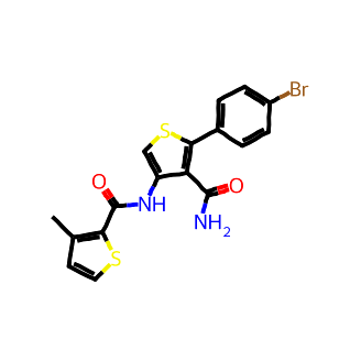 Cc1ccsc1C(=O)Nc1csc(-c2ccc(Br)cc2)c1C(N)=O